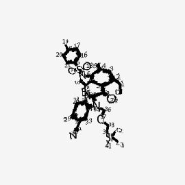 CCc1cc(C)c2c(c(Br)cn2S(=O)(=O)c2ccc(C)cc2)c1C(=O)c1nc2ccc(C#N)cc2n1COCC[Si](C)(C)C